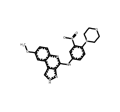 COc1ccc2nc(Nc3ccc(N4CCOCC4)c([N+](=O)[O-])c3)c3n[nH]cc3c2c1